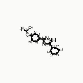 FC(F)Oc1ccc(-c2n[nH]c(-c3ccccc3)n2)cc1